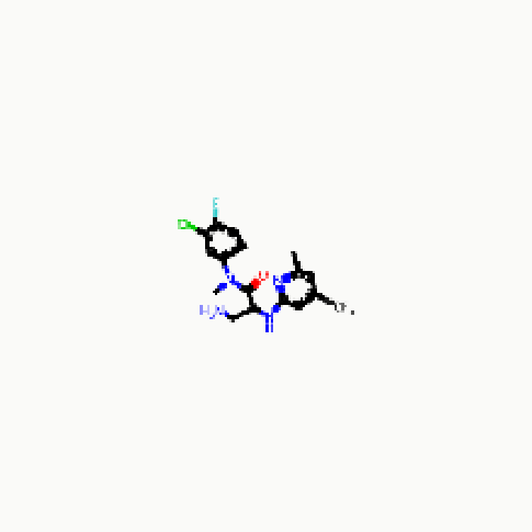 Cc1cc(C(F)(F)F)cc(NC(CN)C(=O)N(C)c2ccc(F)c(Cl)c2)n1